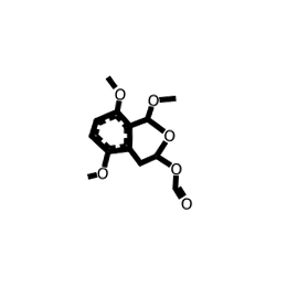 COc1ccc(OC)c2c1CC(OC=O)OC2OC